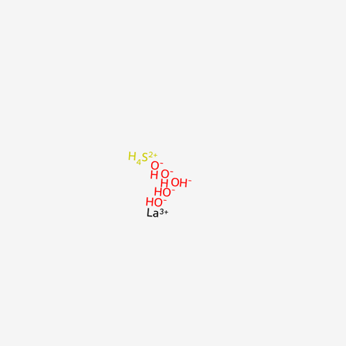 [La+3].[OH-].[OH-].[OH-].[OH-].[OH-].[SH4+2]